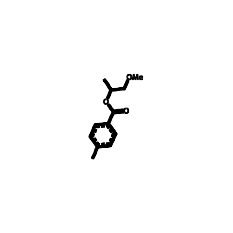 COCC(C)OC(=O)c1ccc(C)cc1